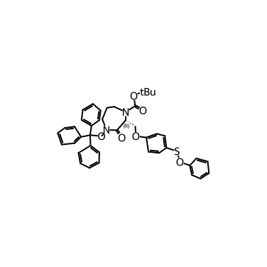 CC(C)(C)OC(=O)N1CCCN(OC(c2ccccc2)(c2ccccc2)c2ccccc2)C(=O)[C@H]1COc1ccc(SOc2ccccc2)cc1